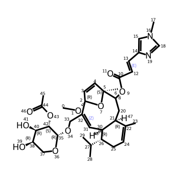 CO[C@]12C=C[C@](C)(O1)C(OC(=O)/C=C/c1cn(C)cn1)C[C@H]1C(C)=CC[C@H](C(C)C)[C@H]1/C=C\2CO[C@@H]1OC[C@@H](O)[C@@H](O)[C@@H]1OC(C)=O